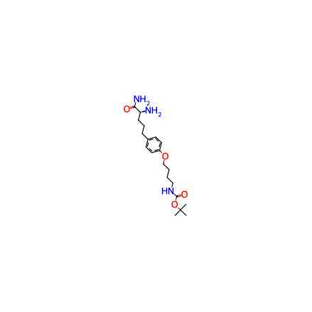 CC(C)(C)OC(=O)NCCCCOc1ccc(CCC[C@H](N)C(N)=O)cc1